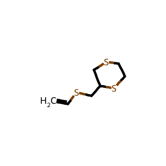 C=CSCC1CSCCS1